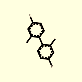 Cc1cc(F)ccc1-c1ccc(F)cc1C